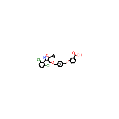 O=C(O)c1cccc(OCC23CCC(COCc4c(-c5c(Cl)cccc5Cl)noc4C4CC4)(CC2)CC3)c1